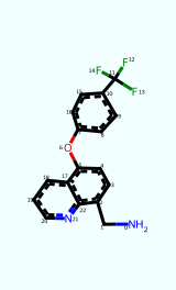 NCc1ccc(Oc2ccc(C(F)(F)F)cc2)c2cccnc12